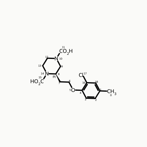 Cc1ccc(OCC[C@@H]2CN(C(=O)O)CCN2C(=O)O)c(Cl)c1